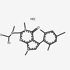 CCC(CC)N(C)c1nc2c(c(-c3c(C)cc(C)cc3C)cn2C)c(=O)n1C.Cl